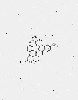 Cc1ccc(NC(=O)Nc2cc(OC(C)C(=O)O)ccc2N(CC(C)C)C2CCCCC2)c(F)c1